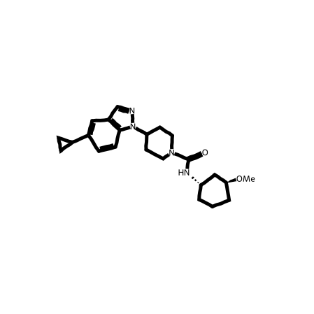 CO[C@H]1CCC[C@H](NC(=O)N2CCC(n3ncc4cc(C5CC5)ccc43)CC2)C1